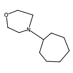 C1CCCC(N2CCOCC2)CC1